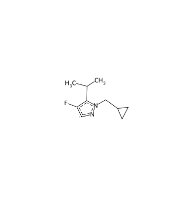 CC(C)c1c(F)[c]nn1CC1CC1